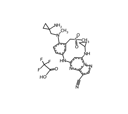 CN(CC1(N)CC1)c1ccc(Nc2cc(NC3CC3)n3ncc(C#N)c3n2)cc1CS(C)(=O)=O.O=C(O)C(F)(F)F